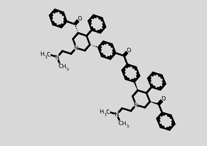 CN(C)CCN1C[C@H](C(=O)c2ccccc2)C(c2ccccc2)[C@H](c2ccc(C(=O)c3ccc([C@@H]4CN(CCN(C)C)C[C@H](C(=O)c5ccccc5)C4c4ccccc4)cc3)cc2)C1